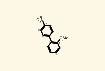 COc1[c]cccc1-c1ccc([N+](=O)[O-])cc1